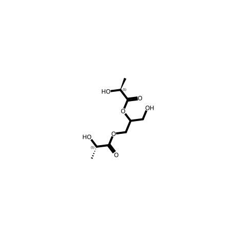 C[C@H](O)C(=O)OCC(CO)OC(=O)[C@H](C)O